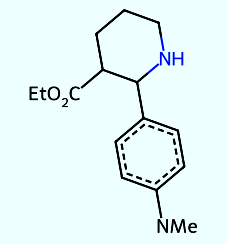 CCOC(=O)C1CCCNC1c1ccc(NC)cc1